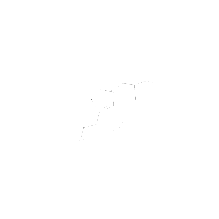 CC(=O)[O-].CCCCC(CC)Cn1cc[n+](CC(CC)CCCC)c1